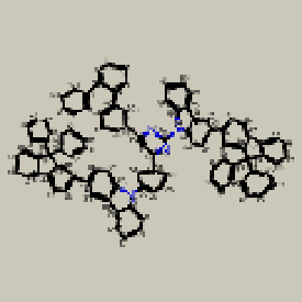 c1ccc(-c2ccccc2-c2cccc(-c3cc(-c4cccc(-n5c6ccccc6c6cc(-c7ccc8c(c7)C(c7ccccc7)(c7ccccc7)c7ccccc7-8)ccc65)c4)nc(-n4c5ccccc5c5cc(-c6ccc7c(c6)C(c6ccccc6)(c6ccccc6)c6ccccc6-7)ccc54)n3)c2)cc1